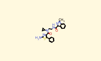 Cn1nc(C(=O)NCCN(C(=O)c2nc(N)sc2-c2ccccc2)C2CC2)c2ccccc21